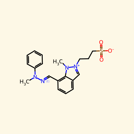 CN(/N=C/c1cccc2c[n+](CCCS(=O)(=O)[O-])n(C)c12)c1ccccc1